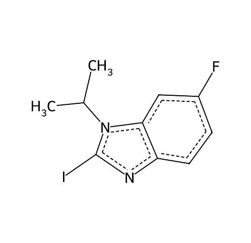 CC(C)n1c(I)nc2ccc(F)cc21